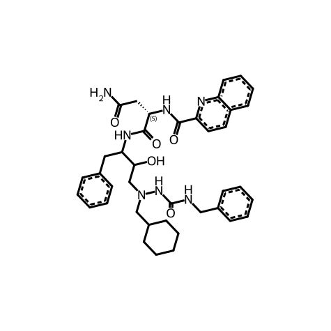 NC(=O)C[C@H](NC(=O)c1ccc2ccccc2n1)C(=O)NC(Cc1ccccc1)C(O)CN(CC1CCCCC1)NC(=O)NCc1ccccc1